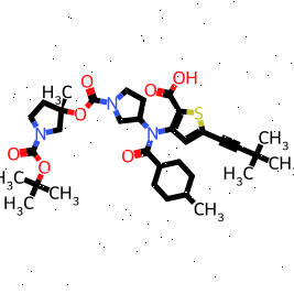 CC1CCC(C(=O)N(c2cc(C#CC(C)(C)C)sc2C(=O)O)C2CCN(C(=O)O[C@@]3(C)CCN(C(=O)OC(C)(C)C)C3)C2)CC1